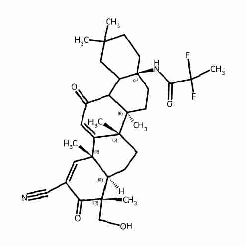 CC1(C)CC[C@]2(NC(=O)C(C)(F)F)CC[C@]3(C)C(C(=O)C=C4[C@@]5(C)C=C(C#N)C(=O)[C@@](C)(CO)[C@@H]5CC[C@]43C)C2C1